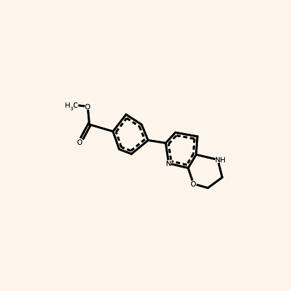 COC(=O)c1ccc(-c2ccc3c(n2)OCCN3)cc1